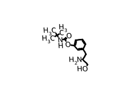 CC(C)(C)NC(=O)Oc1cccc(C[C@H](N)CO)c1